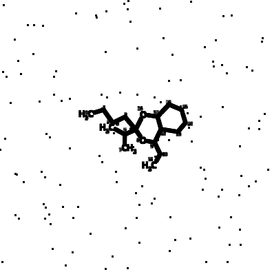 CCCCC1(C(C)C)OC(CC)C2CCCCC2O1